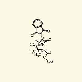 CC(C)(C)OC(=O)[C@@H]1N2C(=O)[C@@H](N3C(=O)c4ccccc4C3=O)[C@H]2[S+]([O-])C1(C)C